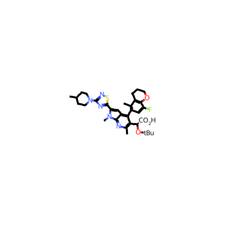 Cc1nc2c(cc(-c3nc(N4CCC(C)CC4)ns3)n2C)c(-c2cc(F)c3c(c2C)CCCO3)c1[C@H](OC(C)(C)C)C(=O)O